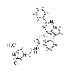 C[C@@H]1CN(CCNC(=O)c2cnccc2Nc2nc(-c3ccccn3)nn3cccc23)C[C@H](C)O1